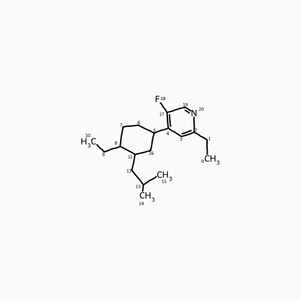 CCc1cc(C2CCC(CC)C(CC(C)C)C2)c(F)cn1